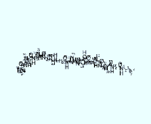 CN(C)CCCNC(=O)CCNC(=O)c1cc(NC(=O)c2cc(NC(=O)c3ccc4nc(-c5nc(NC(=O)CCCNC(=O)c6cc(NC(=O)c7cc(NC(=O)c8nc(NC(=O)c9nccn9C)cn8C)cn7C)cn6C)cn5C)[nH]c4c3O)cn2C)cn1C